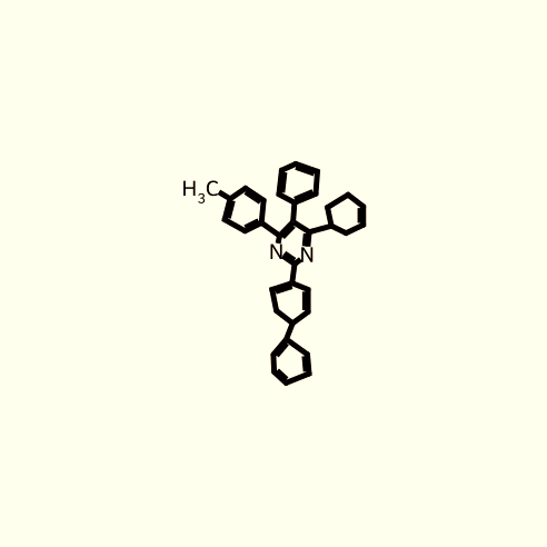 Cc1ccc(-c2nc(C3=CCC(c4ccccc4)C=C3)nc(C3CC=CCC3)c2-c2ccccc2)cc1